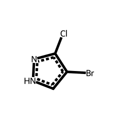 Clc1n[nH]cc1Br